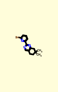 CC1(C)CCc2cnc(-c3cccc(Br)n3)nc2C1